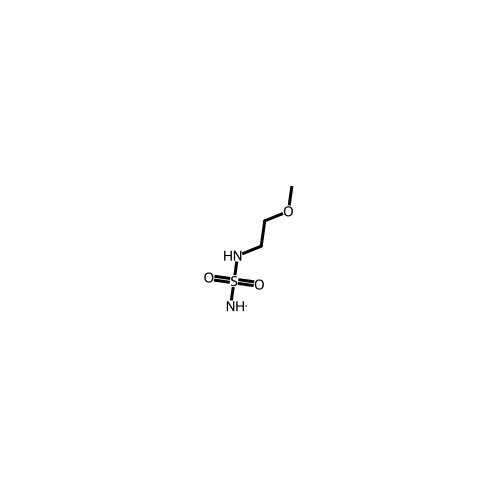 COCCNS([NH])(=O)=O